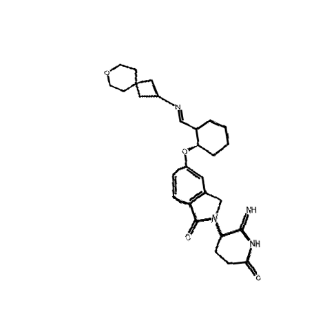 N=C1NC(=O)CCC1N1Cc2cc(O[C@@H]3CCCCC3/C=N/C3CC4(CCOCC4)C3)ccc2C1=O